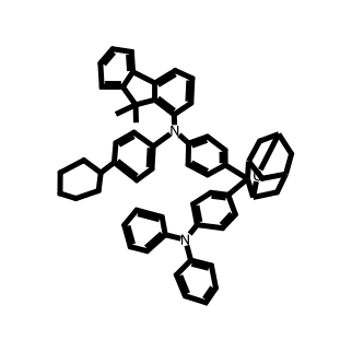 CC1(C)c2ccccc2-c2cccc(N(c3ccc(C4CCCCC4)cc3)c3ccc(C4(c5ccc(N(c6ccccc6)c6ccccc6)cc5)C5CC6CC(C5)CC4C6)cc3)c21